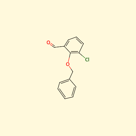 O=Cc1cccc(Cl)c1OCc1ccccc1